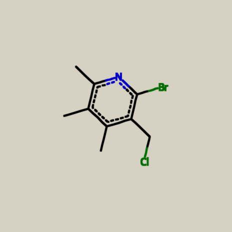 Cc1nc(Br)c(CCl)c(C)c1C